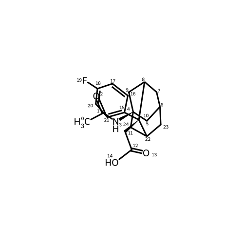 CC(=O)N[C@]12CC3CC(C1)[C@@](CC(=O)O)(c1ccc(F)cc1)C(C3)C2